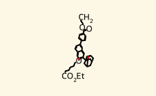 C=CCOC(=O)c1ccc(-c2ccc3cc(OCCCCCC(=O)OCC)c(C45CC6CC(CC(C6)C4)C5)cc3c2)cc1